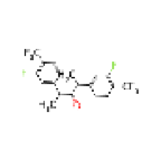 CC(C(=O)C(C)c1ccc(C(F)(F)F)c(F)c1)c1ccc(C(F)(F)F)c(F)c1